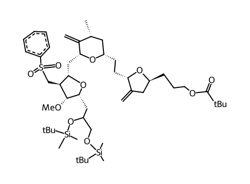 C=C1C[C@H](CCCOC(=O)C(C)(C)C)O[C@H]1CC[C@H]1C[C@@H](C)C(=C)[C@@H](C[C@@H]2O[C@H](CC(CO[Si](C)(C)C(C)(C)C)O[Si](C)(C)C(C)(C)C)[C@H](OC)[C@H]2CS(=O)(=O)c2ccccc2)O1